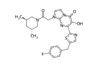 C[C@@H]1C[C@@H](C)CN(C(=O)Cn2ccn3c(=O)c(O)c(-c4ncc(Cc5ccc(F)cc5)s4)nc23)C1